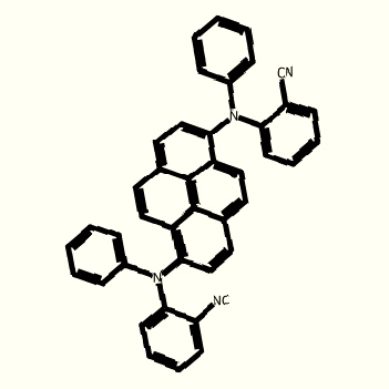 [C-]#[N+]c1ccccc1N(c1ccccc1)c1ccc2ccc3c(N(c4ccccc4)c4ccccc4C#N)ccc4ccc1c2c43